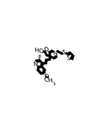 COc1ccc2ncc(F)c(CCCC3(CC(=O)O)CCN(CCSc4cccs4)CC3)c2c1